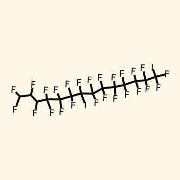 FC(F)C(F)C(F)C(F)(F)C(F)(F)C(F)(F)C(F)(I)C(F)(F)C(F)(F)C(F)(F)C(F)(F)C(F)(F)C(F)(F)C(F)(F)I